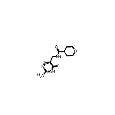 Nc1nnc(CNC(=O)C2CCOCC2)c(=O)[nH]1